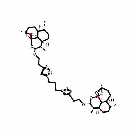 C[C@H]1[C@H](OCCc2cn(CCCn3cc(CCO[C@@H]4O[C@@H]5O[C@]6(C)CC[C@H]7[C@H](C)CC[C@@H]([C@H]4C)[C@@]57OO6)nn3)nn2)O[C@@H]2O[C@]3(C)CC[C@H]4[C@H](C)CC[C@@H]1[C@@]24OO3